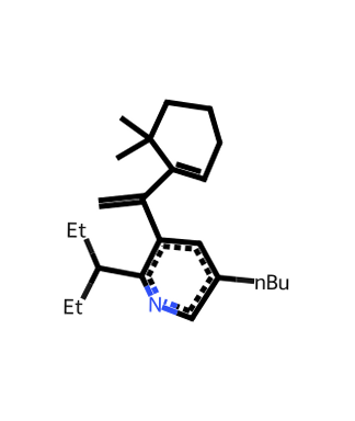 C=C(C1=CCCCC1(C)C)c1cc(CCCC)cnc1C(CC)CC